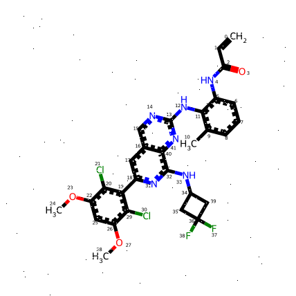 C=CC(=O)Nc1cccc(C)c1Nc1ncc2cc(-c3c(Cl)c(OC)cc(OC)c3Cl)nc(NC3CC(F)(F)C3)c2n1